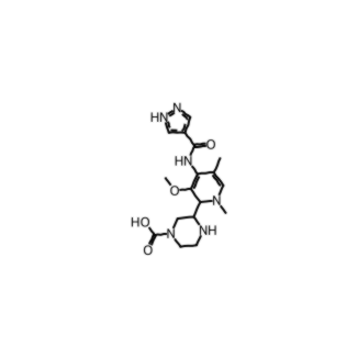 COC1=C(NC(=O)c2cn[nH]c2)C(C)=CN(C)C1C1CN(C(=O)O)CCN1